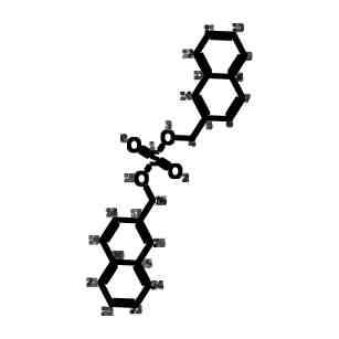 O=S(=O)(OCc1ccc2ccccc2c1)OCc1ccc2ccccc2c1